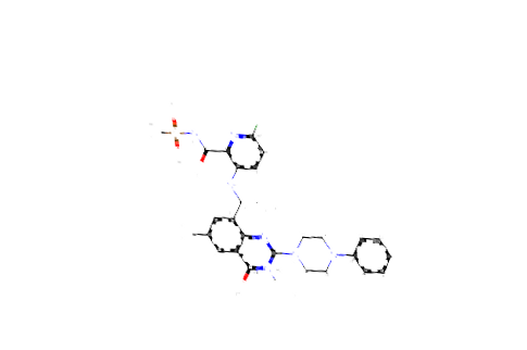 Cc1cc([C@@H](C)Nc2ccc(Cl)nc2C(=O)NS(C)(=O)=O)c2nc(N3CCN(c4ccccc4)CC3)n(C)c(=O)c2c1